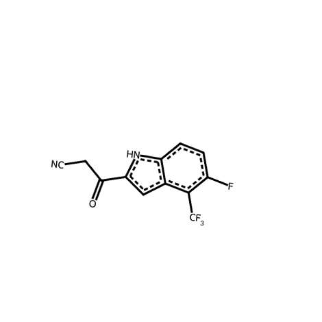 N#CCC(=O)c1cc2c(C(F)(F)F)c(F)ccc2[nH]1